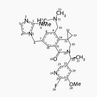 CNc1nccn1Cc1cc(CN(C)C)c2c(c1)C(=O)N([C@@H](C)c1cnc(F)c(OC)c1)CC21CC1